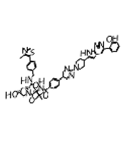 Cc1ncsc1-c1ccc(CNC(=O)[C@@H]2C[C@@H](O)CN2C(=O)[C@](C)(NC(=O)c2ccc(-c3cnc(N4CCC(c5cc6cc(-c7ccccc7O)nnc6[nH]5)CC4)nc3)cc2)C(C)(C)C)cc1